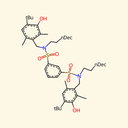 CCCCCCCCCCCCN(Cc1c(C)cc(C(C)(C)C)c(O)c1C)S(=O)(=O)c1cccc(S(=O)(=O)N(CCCCCCCCCCCC)Cc2c(C)cc(C(C)(C)C)c(O)c2C)c1